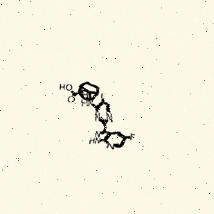 O=C(O)[C@H]1C2CCCC(CC2)C1Nc1nc(-c2n[nH]c3ncc(F)cc23)ncc1F